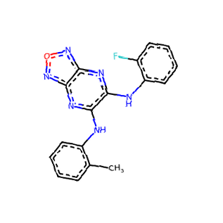 Cc1ccccc1Nc1nc2nonc2nc1Nc1ccccc1F